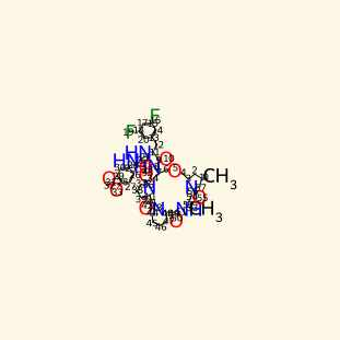 C[C@H]1CC2COC[C@H](NC(=O)[C@H](Cc3cc(F)cc(F)c3)NC(=O)Nc3ccc4c(c3)OCO4)C(=O)N3CCCC3C(=O)N3CCCCC3C(=O)N[C@@H](C)C(=O)N2C1